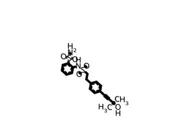 CC(C)(O)C#Cc1ccc(CCS(=O)(=O)Nc2ccccc2S(N)(=O)=O)cc1